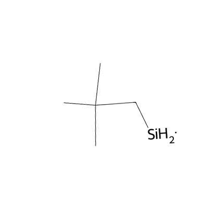 CC(C)(C)C[SiH2]